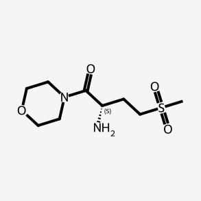 CS(=O)(=O)CC[C@H](N)C(=O)N1CCOCC1